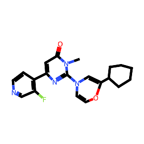 Cn1c(N2C=COC(C3CCCCC3)=C2)nc(-c2ccncc2F)cc1=O